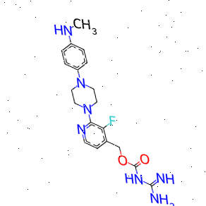 CNc1ccc(N2CCN(c3nccc(COC(=O)NC(=N)N)c3F)CC2)cc1